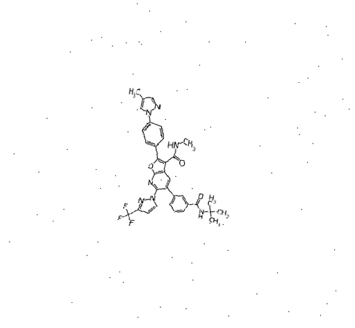 CNC(=O)c1c(-c2ccc(-n3cc(C)cn3)cc2)oc2nc(-n3ccc(C(F)(F)F)n3)c(-c3cccc(C(=O)NC(C)(C)C)c3)cc12